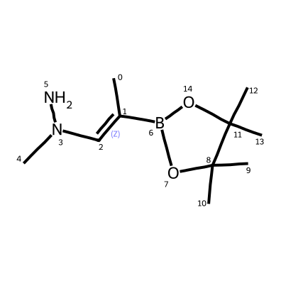 C/C(=C\N(C)N)B1OC(C)(C)C(C)(C)O1